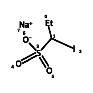 CCC(I)S(=O)(=O)[O-].[Na+]